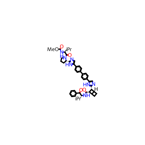 COC(=O)N[C@H](C(=O)N1CCC[C@H]1c1ncc(-c2ccc(-c3ccc(-c4cnc([C@H]5[C@H](C(=O)N[C@@H](C(=O)c6ccccc6)C(C)C)C6CC[C@@H]65)[nH]4)cc3)cc2)[nH]1)C(C)C